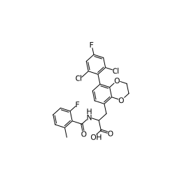 Cc1cccc(F)c1C(=O)NC(Cc1ccc(-c2c(Cl)cc(F)cc2Cl)c2c1OCCO2)C(=O)O